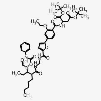 CCCCCC(C(=O)NCNC(=O)c1ccc(-c2ccc(C(=O)NC(CC(=O)OC(C)(C)C)C(=O)OC(C)(C)C)c(OCC)c2)o1)C(CC)N(C=O)OC(=O)Nc1ccccc1